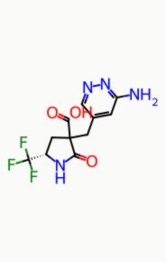 Nc1cc(CC2(C(=O)O)C[C@@H](C(F)(F)F)NC2=O)cnn1